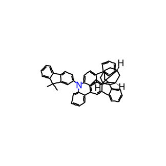 CC1(C)c2ccccc2-c2ccc(N(c3ccc(-c4ccccc4)cc3)c3ccccc3-c3ccc4c(c3)-c3ccccc3[C@]43CC4C[C@@H]5C[C@H]3C[C@@H]5C4)cc21